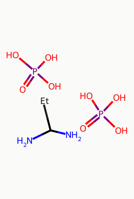 CCC(N)N.O=P(O)(O)O.O=P(O)(O)O